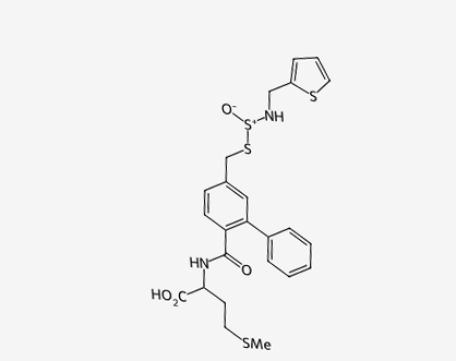 CSCCC(NC(=O)c1ccc(CS[S+]([O-])NCc2cccs2)cc1-c1ccccc1)C(=O)O